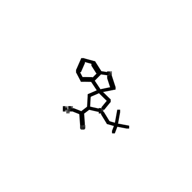 CC(C)(C)CN1CC2(C=Nc3ccccc32)CC1C(N)=O